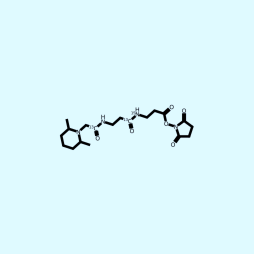 CC1CCCC(C)N1C[13C](=O)NCC[13C](=O)[15NH]CCC(=O)ON1C(=O)CCC1=O